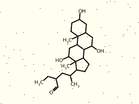 CCC(C=O)CC(C)C1CCC2C3C(O)CC4CC(O)CCC4(C)C3CC(O)C12C